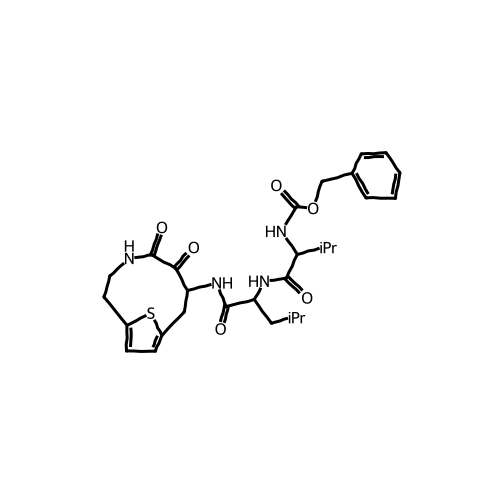 CC(C)CC(NC(=O)C(NC(=O)OCc1ccccc1)C(C)C)C(=O)NC1Cc2ccc(s2)CCNC(=O)C1=O